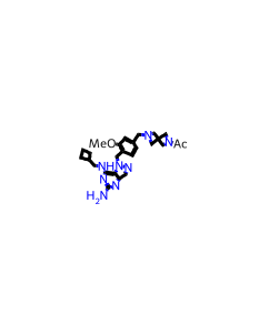 COc1cc(CN2CC3(C2)CN(C(C)=O)C3)ccc1Cn1ncc2nc(N)nc(NCC3CCC3)c21